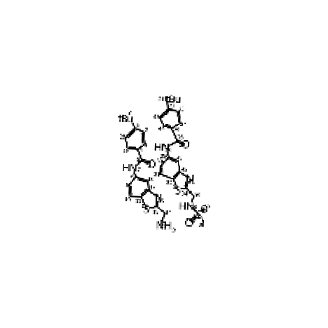 CC(C)(C)c1ccc(C(=O)Nc2ccc3sc(CN)nc3c2)cc1.CC(C)(C)c1ccc(C(=O)Nc2ccc3sc(CNS(C)(=O)=O)nc3c2)cc1